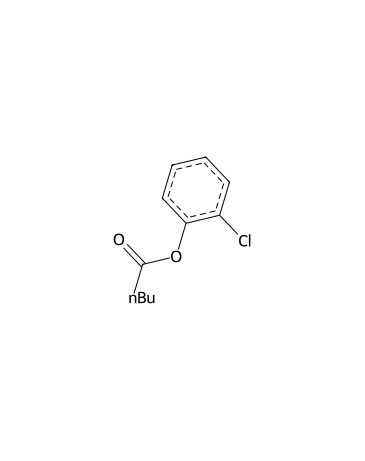 CCCCC(=O)Oc1ccccc1Cl